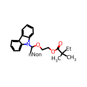 CCCCCCCCCC(OCCOC(=O)C(C)(C)CC)n1c2ccccc2c2ccccc21